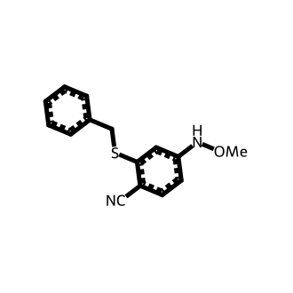 CONc1ccc(C#N)c(SCc2ccccc2)c1